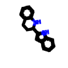 c1ccc2c(c1)CCC(c1cc3ccccc3[nH]1)N2